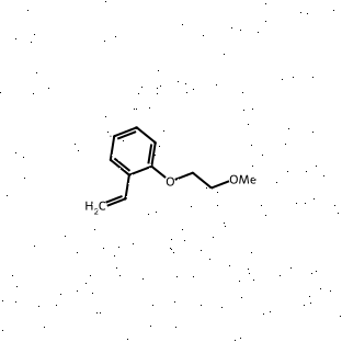 C=Cc1c[c]ccc1OCCOC